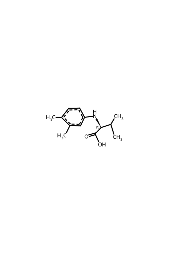 Cc1ccc(N[C@H](C(=O)O)C(C)C)cc1C